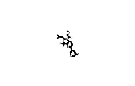 COCC(=O)N(CC=C(C)C)c1ccc(-c2cncc(F)c2)nc1C(F)(F)F